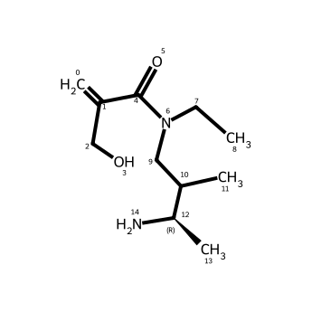 C=C(CO)C(=O)N(CC)CC(C)[C@@H](C)N